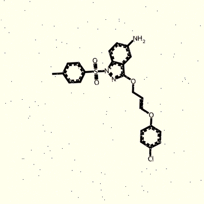 Cc1ccc(S(=O)(=O)n2nc(OCC=COc3ccc(Cl)cc3)c3cc(N)ccc32)cc1